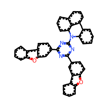 c1ccc2c(c1)-c1cccc3cccc(c13)N2c1nc(-c2ccc3c(c2)oc2ccccc23)nc(-c2ccc3oc4ccccc4c3c2)n1